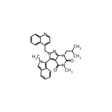 CC(C)Cn1c(=O)n(C)c(=O)c2c(-c3c4ccccc4cn3C)n(Cc3ccnc4ccccc34)nc21